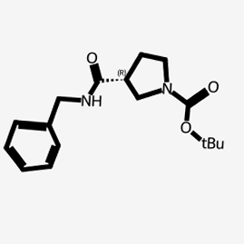 CC(C)(C)OC(=O)N1CC[C@@H](C(=O)NCc2ccccc2)C1